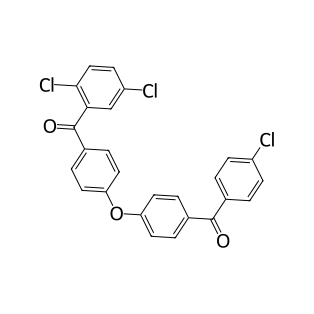 O=C(c1ccc(Cl)cc1)c1ccc(Oc2ccc(C(=O)c3cc(Cl)ccc3Cl)cc2)cc1